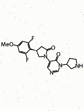 COc1cc(F)c([C@H]2CC(=O)N(c3cncn(C4CCNC4)c3=O)C2)c(F)c1